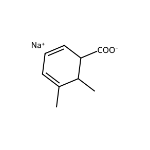 CC1=CC=CC(C(=O)[O-])C1C.[Na+]